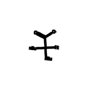 CCCCC(CC)(CCCC)C([O])=O